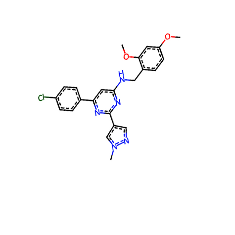 COc1ccc(CNc2cc(-c3ccc(Cl)cc3)nc(-c3cnn(C)c3)n2)c(OC)c1